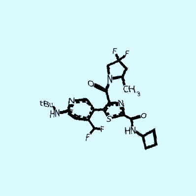 CC1CC(F)(F)CN1C(=O)c1nc(C(=O)NC2CCC2)sc1-c1cnc(NC(C)(C)C)cc1C(F)F